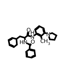 Cc1c(NC(=O)C(CC2C=CC=CC2)NC(=O)c2ccccc2)cccc1N1CCCC1